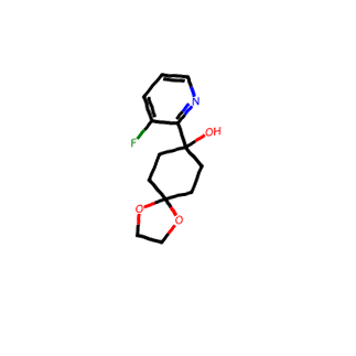 OC1(c2ncccc2F)CCC2(CC1)OCCO2